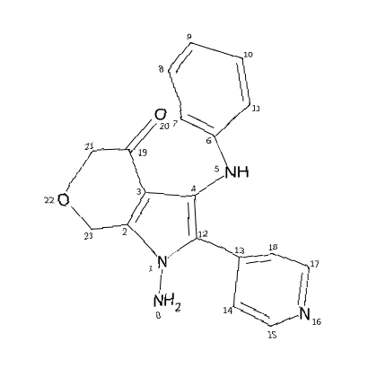 Nn1c2c(c(Nc3ccccc3)c1-c1ccncc1)C(=O)COC2